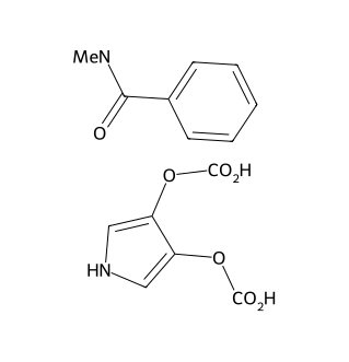 CNC(=O)c1ccccc1.O=C(O)Oc1c[nH]cc1OC(=O)O